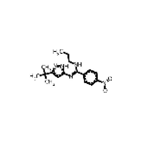 CCCNC(=Nc1cc(C(C)(C)C)n[nH]1)c1ccc([N+](=O)[O-])cc1